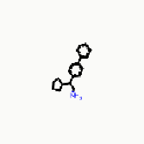 NCC(c1ccc(-c2ccccc2)cc1)C1CCCC1